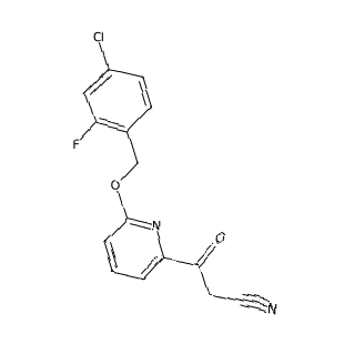 N#CCC(=O)c1cccc(OCc2ccc(Cl)cc2F)n1